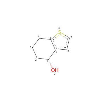 O[C@@H]1CCCc2sccc21